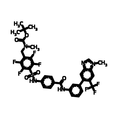 CN(Cc1c(F)c(F)c(S(=O)(=O)Nc2ccc(C(=O)Nc3cccc(-c4cc5ncn(C)c5cc4C(F)(F)F)c3)cc2)c(F)c1F)C(=O)OC(C)(C)C